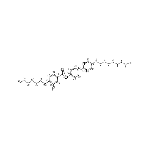 CCCCCCCCCc1cnc(-c2ccc(OC(=O)c3ccc(CCCCCCC)c(F)c3)cc2)nc1